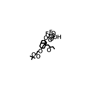 CCC(=O)CC12CC3CC(OCC(=O)OC(C)(C)C)(C1)CC(OC(=O)C(F)(F)S(=O)(=O)O)(C3)C2